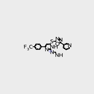 N=C/N=c1/nc(-c2ccc(C(F)(F)F)cc2)cc(Sc2nnc(-c3cccnc3)o2)[nH]1